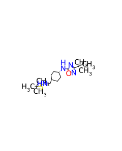 CC(C)(C)SNC[C@H]1CC[C@H](Nc2nc(C(C)(C)C)no2)CC1